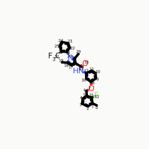 Cc1cccc(COc2cccc(NC(=O)c3cc(C)n(-c4ccccc4C(F)(F)F)c3C)c2)c1F